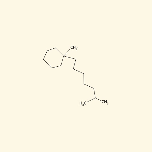 [CH2]C1(CCCCCC(C)C)CCCCC1